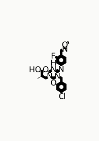 CO/N=C/c1ccc(/N=C2\NCN(C[C@H](C)C(=O)O)C(=O)N2Cc2ccc(Cl)cc2)cc1F